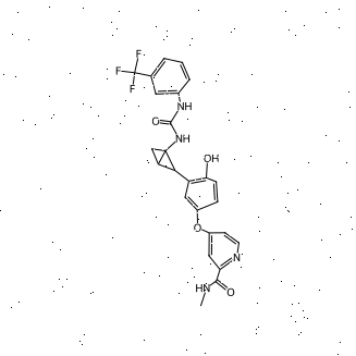 CNC(=O)c1cc(Oc2ccc(O)c(C3C4CC43NC(=O)Nc3cccc(C(F)(F)F)c3)c2)ccn1